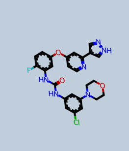 O=C(Nc1cc(Cl)cc(N2CCOCC2)c1)Nc1cc(Oc2ccnc(-c3cn[nH]c3)c2)ccc1F